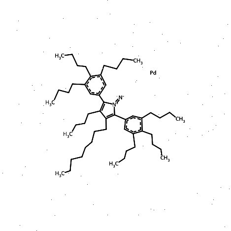 CCCCCCCCC1=C(c2cc(CCCC)c(CCCC)c(CCCC)c2)[N+](=[N-])C(c2cc(CCCC)c(CCCC)c(CCCC)c2)=C1CCCC.[Pd]